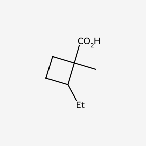 CCC1CCC1(C)C(=O)O